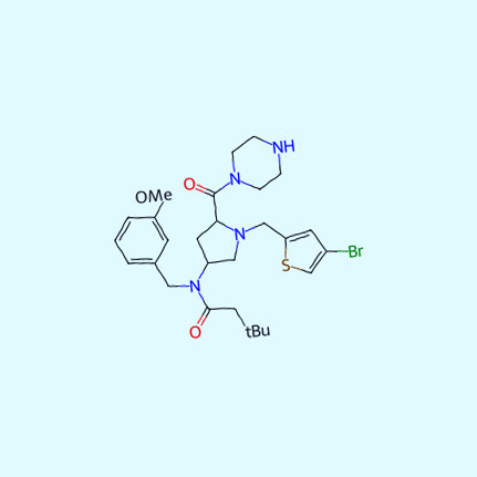 COc1cccc(CN(C(=O)CC(C)(C)C)C2CC(C(=O)N3CCNCC3)N(Cc3cc(Br)cs3)C2)c1